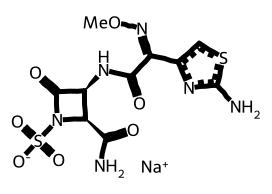 CO/N=C(\C(=O)N[C@@H]1C(=O)N(S(=O)(=O)[O-])[C@@H]1C(N)=O)c1csc(N)n1.[Na+]